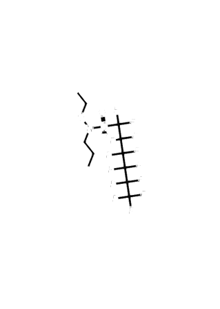 CCCN(OCC)S(=O)(=O)C(F)(F)C(F)(F)C(F)(F)C(F)(F)C(F)(F)C(F)(F)F